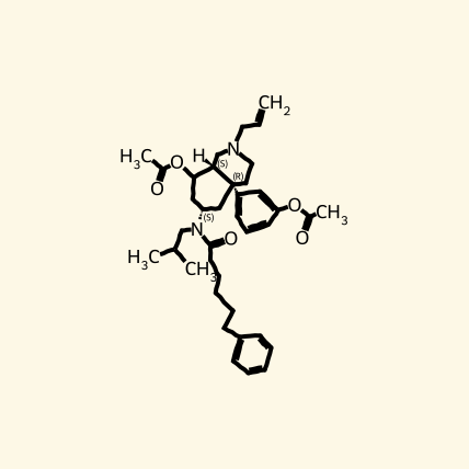 C=CCN1CC[C@@]2(c3cccc(OC(C)=O)c3)C[C@H](N(CC(C)C)C(=O)CCCCCc3ccccc3)CC(OC(C)=O)[C@@H]2C1